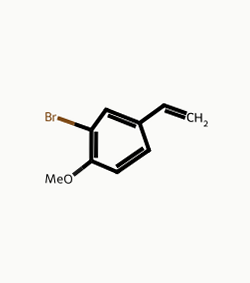 C=Cc1ccc(OC)c(Br)c1